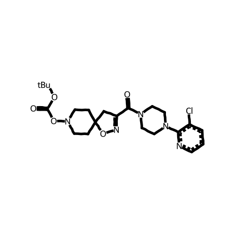 CC(C)(C)OC(=O)ON1CCC2(CC1)CC(C(=O)N1CCN(c3ncccc3Cl)CC1)=NO2